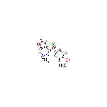 COc1ccc(OC2CN(C)Cc3occc32)cc1.Cl